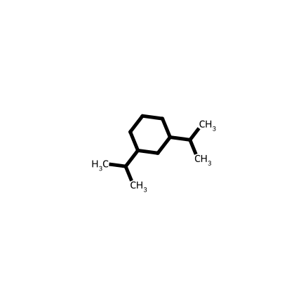 CC(C)C1CCCC(C(C)C)C1